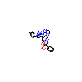 COC(=O)C(CN1CCC(c2cc(-c3ccc(C)cc3)nn2-c2ncccn2)CC1)c1ccccc1